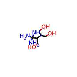 NC(N)(N)C(CO)C(CO)CO